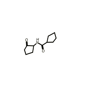 O=C(NC1CCCC1=O)C1CCCC1